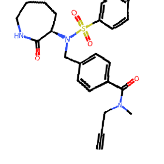 C#CCN(C)C(=O)c1ccc(CN([C@@H]2CCCCNC2=O)S(=O)(=O)c2ccc(Cl)cc2)cc1